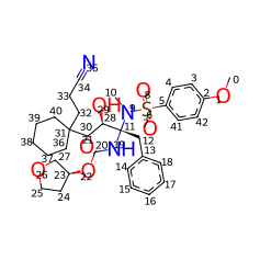 COc1ccc(S(=O)(=O)N(C)[C@](Cc2ccccc2)(NC(=O)O[C@H]2CCOC2)[C@H](O)CC2(CCC#N)CCCCC2)cc1